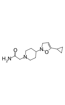 NC(=O)CN1CCC(N2CC=C(C3CC3)O2)CC1